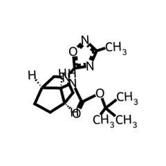 Cc1noc(N2C[C@H]3CC[C@@H](C2)[C@H]3NC(=O)OC(C)(C)C)n1